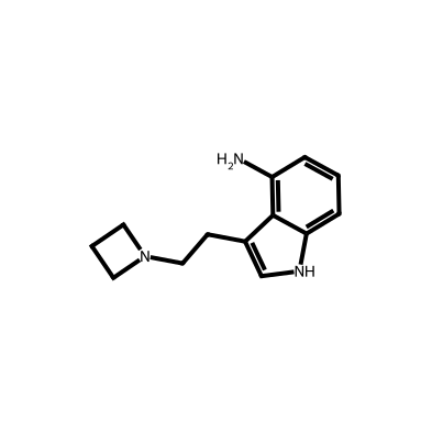 Nc1cccc2[nH]cc(CCN3CCC3)c12